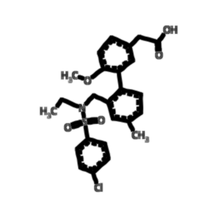 CCN(Cc1cc(C)ccc1-c1cc(CC(=O)O)ccc1OC)S(=O)(=O)c1ccc(Cl)cc1